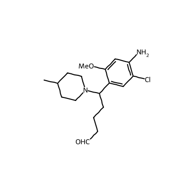 COc1cc(N)c(Cl)cc1C(CCCC=O)N1CCC(C)CC1